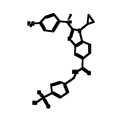 CCS(=O)(=O)c1ccc(CNC(=O)c2ccc3c(c2)nc([C@@H](C)c2ccc(C(F)(F)F)cc2)n3C2CC2)cc1